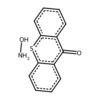 NO.O=c1c2ccccc2sc2ccccc12